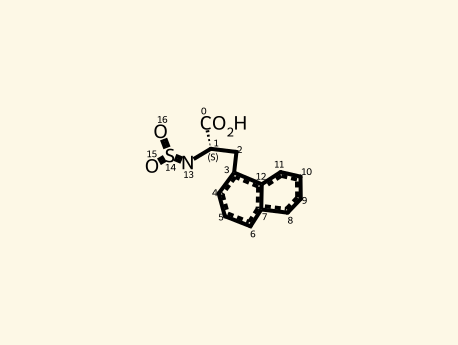 O=C(O)[C@H](Cc1cccc2ccccc12)N=S(=O)=O